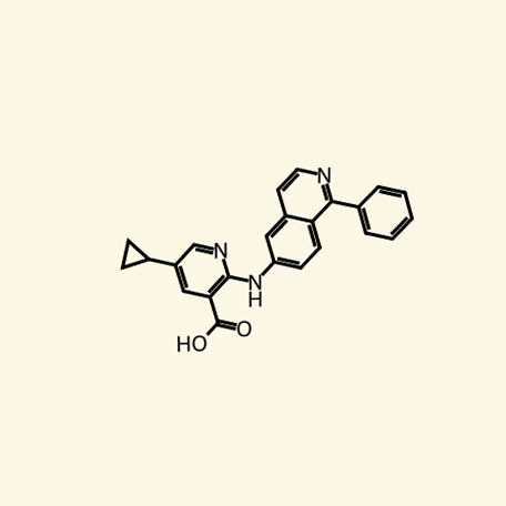 O=C(O)c1cc(C2CC2)cnc1Nc1ccc2c(-c3ccccc3)nccc2c1